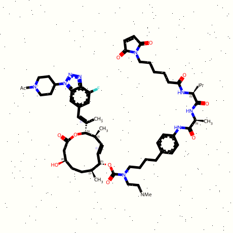 CNCCN(CCCCc1ccc(NC(=O)[C@H](C)NC(=O)[C@@H](NC(=O)CCCCCN2C(=O)C=CC2=O)C(C)C)cc1)C(=O)O[C@H]1/C=C/[C@H](C)[C@@H](/C(C)=C/c2cc(F)c3nnn(C4CCN(C(C)=O)CC4)c3c2)OC(=O)C[C@H](O)CC[C@@H]1C